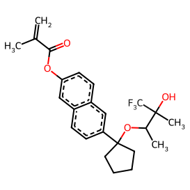 C=C(C)C(=O)Oc1ccc2cc(C3(OC(C)C(C)(O)C(F)(F)F)CCCC3)ccc2c1